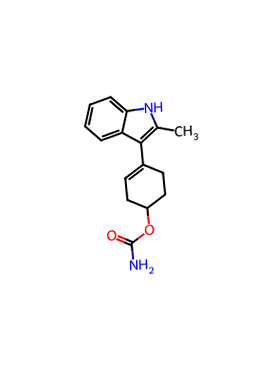 Cc1[nH]c2ccccc2c1C1=CCC(OC(N)=O)CC1